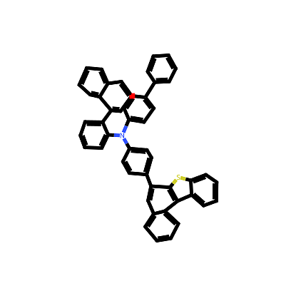 c1ccc(-c2ccc(N(c3ccc(-c4cc5ccccc5c5c4sc4ccccc45)cc3)c3ccccc3-c3cccc4ccccc34)cc2)cc1